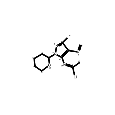 C=Nc1c(I)nn(C2CCCCO2)c1/N=C(\C)Cl